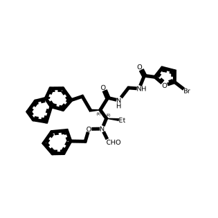 CC[C@H]([C@@H](CCc1ccc2ccccc2c1)C(=O)NCNC(=O)c1ccc(Br)o1)N(C=O)OCc1ccccc1